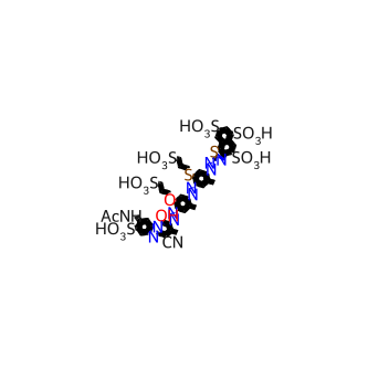 CC(=O)Nc1cc2c(cc1S(=O)(=O)O)nc1c(C#N)c(C)c(N=Nc3cc(C)c(N=Nc4cc(C)c(N=Nc5nc6c(S(=O)(=O)O)cc7c(S(=O)(=O)O)cc(S(=O)(=O)O)cc7c6s5)cc4SCCCS(=O)(=O)O)cc3OCCCS(=O)(=O)O)c(O)n12